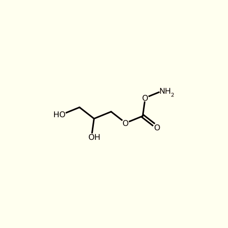 NOC(=O)OCC(O)CO